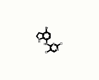 Clc1ncc(Cl)c(Nc2ccc(Br)c3c2NCC3)n1